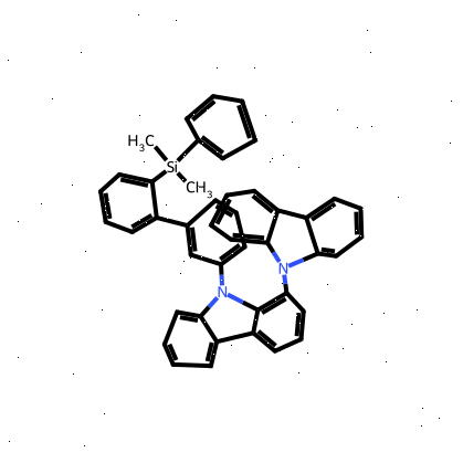 C[Si](C)(c1ccccc1)c1ccccc1-c1cccc(-n2c3ccccc3c3cccc(-n4c5ccccc5c5ccccc54)c32)c1